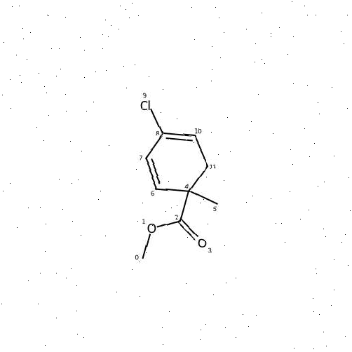 COC(=O)C1(C)C=CC(Cl)=CC1